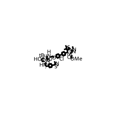 COC(=O)C[C@@H]1N=C(c2ccc(-c3ccc(OCC(=O)N[C@H](C(=O)N4C[C@H](O)C[C@H]4C(=O)N[C@@H](C)c4ccc(-c5scnc5C)cc4)C(C)(C)C)cc3Cl)cc2)c2c(sc(C)c2C)-n2c(C)nnc21